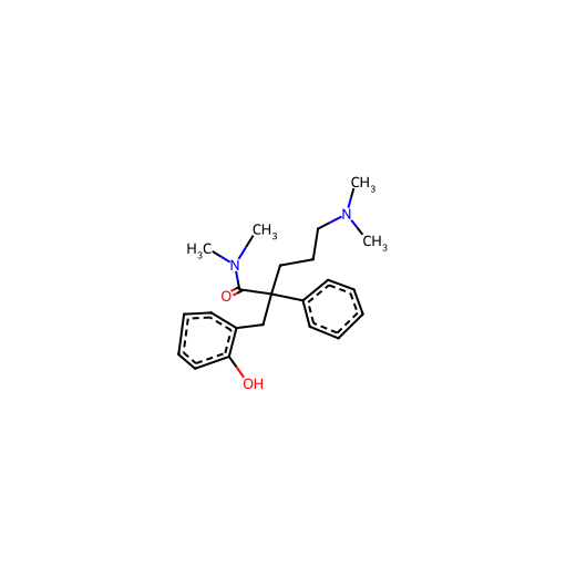 CN(C)CCCC(Cc1ccccc1O)(C(=O)N(C)C)c1ccccc1